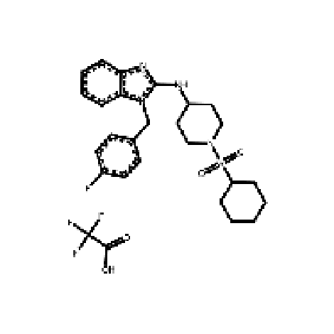 O=C(O)C(F)(F)F.O=S(=O)(C1CCCCC1)N1CCC(Nc2nc3ccccc3n2Cc2ccc(F)cc2)CC1